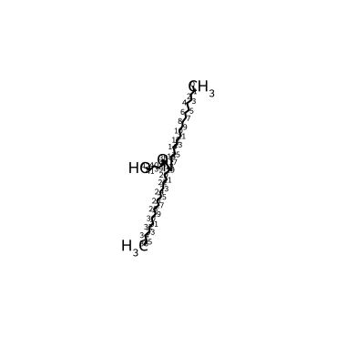 CCCCCCCCCCCCCCCCCCN(CCCCCCCCCCCCCCCCCC)C(=O)CCCO